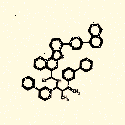 C=C(c1cccc(-c2ccccc2)c1)C(C)C(NC(CC)c1cc2sc3c(-c4ccc(-c5cccc6ccccc56)cc4)cccc3c2c2ccccc12)c1cccc(-c2ccccc2)c1